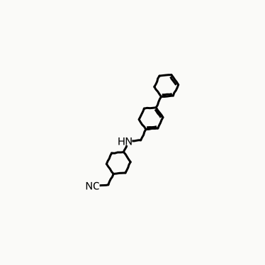 N#CCC1CCC(NCC2=CC=C(C3=CC=CCC3)CC2)CC1